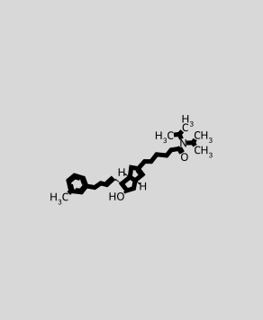 Cc1cccc(CC/C=C/[C@@H]2[C@H]3CC(CCCCCC(=O)N(C(C)C)C(C)C)=C[C@H]3C[C@H]2O)c1